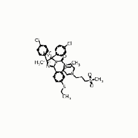 CCOc1cc(SCC)ccc1C1=N[C@@](C)(c2ccc(Cl)cc2)[C@@](C)(c2ccc(Cl)cc2)N1C(=O)N1CCN(CCCS(C)(=O)=O)CC1